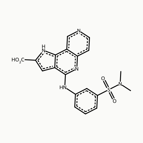 CN(C)S(=O)(=O)c1cccc(Nc2nc3ccncc3c3[nH]c(C(=O)O)cc23)c1